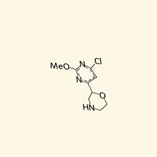 COc1nc(Cl)cc(C2CNCCO2)n1